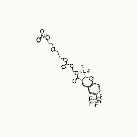 O=C(OCCOCCO[N+](=O)[O-])OCOC(=O)C1=Cc2cc(S(F)(F)(F)(F)F)ccc2OC1C(F)(F)F